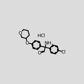 Cl.NC(C=O)(c1ccc(Cl)cc1)c1ccc(OC2CCCOC2)cc1